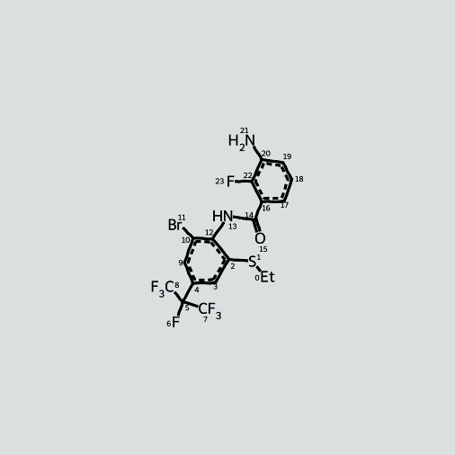 CCSc1cc(C(F)(C(F)(F)F)C(F)(F)F)cc(Br)c1NC(=O)c1cccc(N)c1F